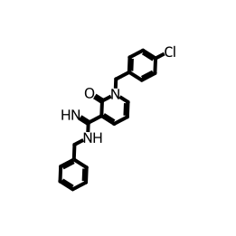 N=C(NCc1ccccc1)c1cccn(Cc2ccc(Cl)cc2)c1=O